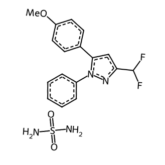 COc1ccc(-c2cc(C(F)F)nn2-c2ccccc2)cc1.NS(N)(=O)=O